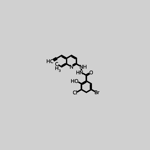 C#C/C=c1/ccc(NNC(=O)C2=C(O)C(Cl)CC(Br)=C2)n/c1=C/C